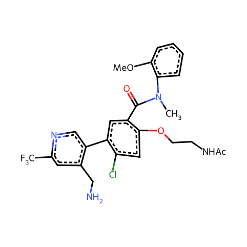 COc1ccccc1N(C)C(=O)c1cc(-c2cnc(C(F)(F)F)cc2CN)c(Cl)cc1OCCNC(C)=O